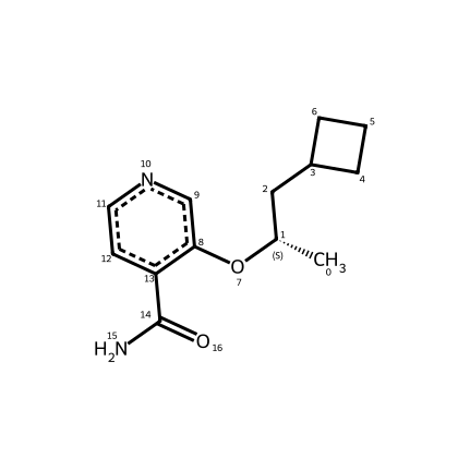 C[C@@H](CC1CCC1)Oc1cnccc1C(N)=O